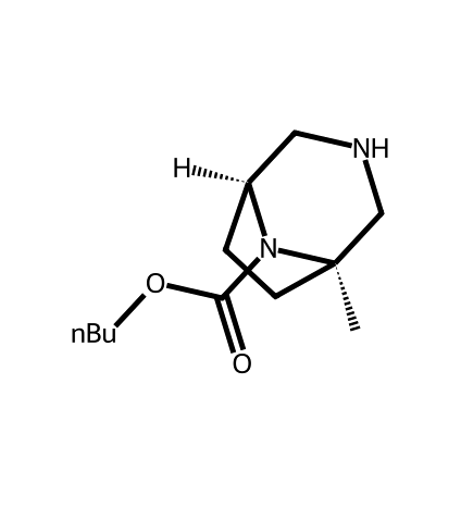 CCCCOC(=O)N1[C@H]2CC[C@]1(C)CNC2